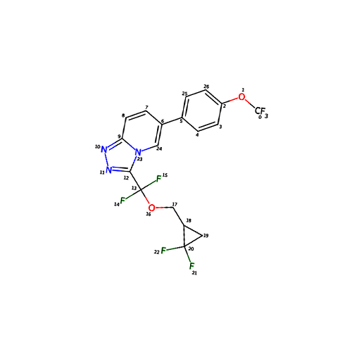 FC(F)(F)Oc1ccc(-c2ccc3nnc(C(F)(F)OCC4CC4(F)F)n3c2)cc1